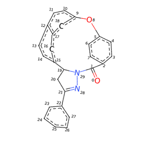 O=C1c2ccc(cc2)Oc2ccc3ccc(cc3c2)C2CC(c3ccccc3)=NN12